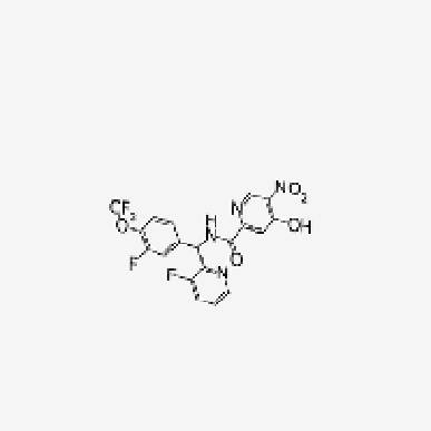 O=C(NC(c1ccc(OC(F)(F)F)c(F)c1)c1ncccc1F)c1cc(O)c([N+](=O)[O-])cn1